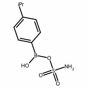 CC(C)c1ccc(B(O)OS(N)(=O)=O)cc1